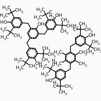 CC(C)(C)c1cc(Cc2cc(Cc3cc(C(C)(C)C)c(O)c(C(C)(C)C)c3)c(O)c(Cc3cc(C(C)(C)C)c(O)c(C(C)(C)C)c3)c2)cc(C(C)(C)C)c1O.Cc1c(C)c(Cc2cc(C(C)(C)C)c(O)c(C(C)(C)C)c2)c(C)c(C)c1Cc1cc(C(C)(C)C)c(O)c(C(C)(C)C)c1